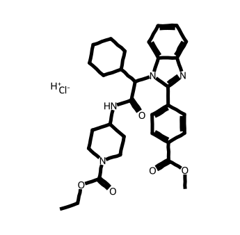 CCOC(=O)N1CCC(NC(=O)C(C2CCCCC2)n2c(-c3ccc(C(=O)OC)cc3)nc3ccccc32)CC1.[Cl-].[H+]